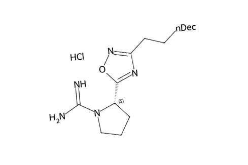 CCCCCCCCCCCCc1noc([C@@H]2CCCN2C(=N)N)n1.Cl